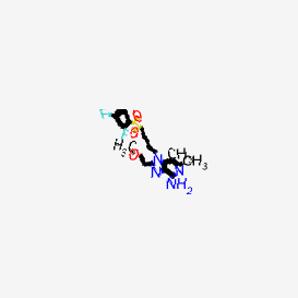 COCCc1nc2c(N)nc(C)c(C)c2n1CCCCCS(=O)(=O)c1ccc(F)cc1F